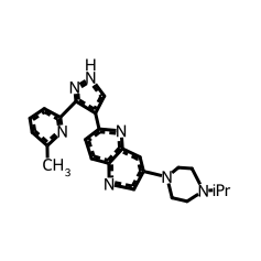 Cc1cccc(-c2n[nH]cc2-c2ccc3ncc(N4CCN(C(C)C)CC4)cc3n2)n1